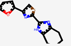 c1coc(-c2csc(-c3nc4c([nH]3)CCCC4)n2)c1